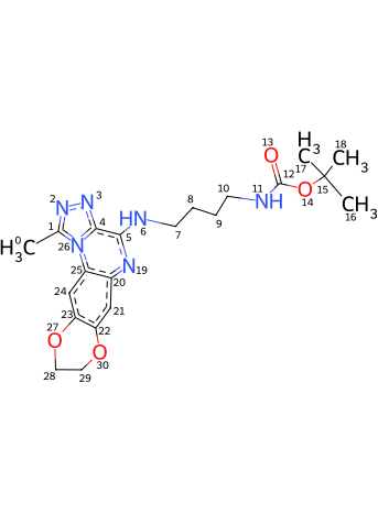 Cc1nnc2c(NCCCCNC(=O)OC(C)(C)C)nc3cc4c(cc3n12)OCCO4